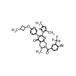 Cc1cc(C)n(-c2nc3c(c(=O)n2-c2ccc(O[C@H]4C[C@@H](C)C4)nc2)C[C@@H](C)N(C(=O)c2ccc(Br)c(C(F)(F)F)c2)C3)n1